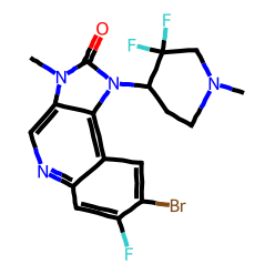 CN1CCC(n2c(=O)n(C)c3cnc4cc(F)c(Br)cc4c32)C(F)(F)C1